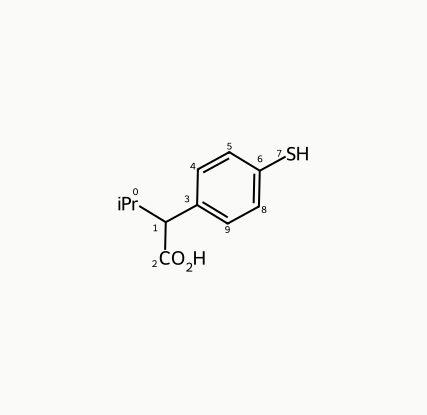 CC(C)C(C(=O)O)c1ccc(S)cc1